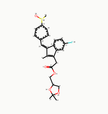 CC1=C(CC(=O)OCC2COC(C)(C)O2)c2cc(F)ccc2/C1=C\c1ccc([S+](C)[O-])cc1